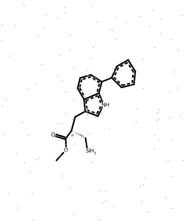 COC(=O)[C@@H](C[SiH3])Cc1c[nH]c2c(-c3ccccc3)cccc12